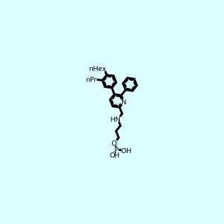 CCCCCCc1ccc(-c2ccc(CNCCCO[PH](=O)O)nc2-c2ccccc2)cc1CCC